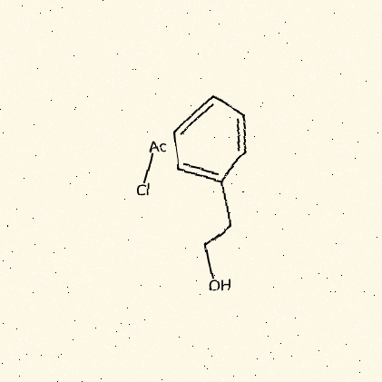 CC(=O)Cl.OCCc1ccccc1